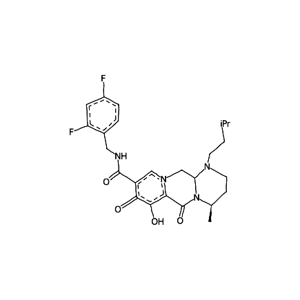 CC(C)CCN1CC[C@@H](C)N2C(=O)c3c(O)c(=O)c(C(=O)NCc4ccc(F)cc4F)cn3CC12